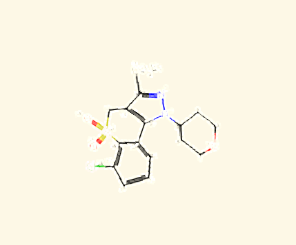 CCOC(=O)c1nn(C2CCOCC2)c2c1CS(=O)(=O)c1c(Cl)cccc1-2